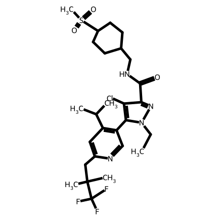 CCn1nc(C(=O)NCC2CCC(S(C)(=O)=O)CC2)c(Cl)c1-c1cnc(CC(C)(C)C(F)(F)F)cc1C(C)C